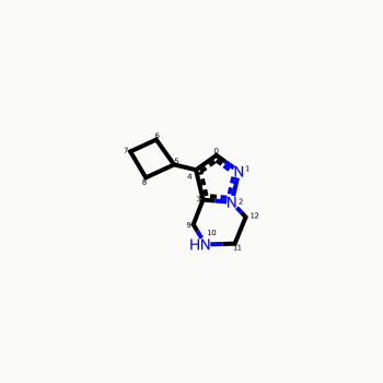 c1nn2c(c1C1CCC1)CNCC2